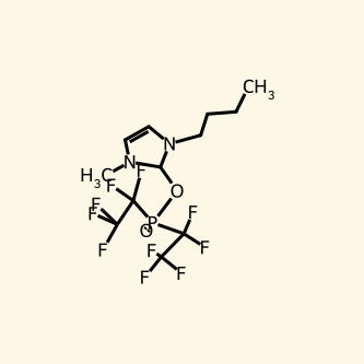 CCCCN1C=CN(C)C1OP(=O)(C(F)(F)C(F)(F)F)C(F)(F)C(F)(F)F